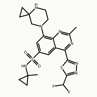 Cc1nc(-c2nnc(C(F)F)s2)c2cc(S(=O)(=O)NC3(C)CC3)cc(N3CCNC4(CC4)C3)c2n1